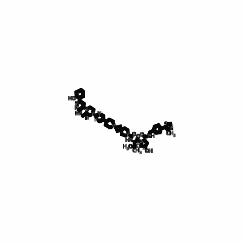 Cc1ncsc1-c1ccc(CNC(=O)[C@@H]2C[C@@H](O)CN2C(=O)[C@@H](NC(=O)N2CCC3(CC2)CC(N2CCC(c4cnc(N5CCN6c7cc(-c8ccccc8O)nnc7NC[C@H]6C5)nc4)CC2)C3)C(C)(C)C)cc1